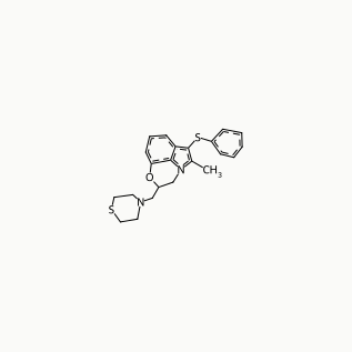 Cc1c(Sc2ccccc2)c2cccc3c2n1CC(CN1CCSCC1)O3